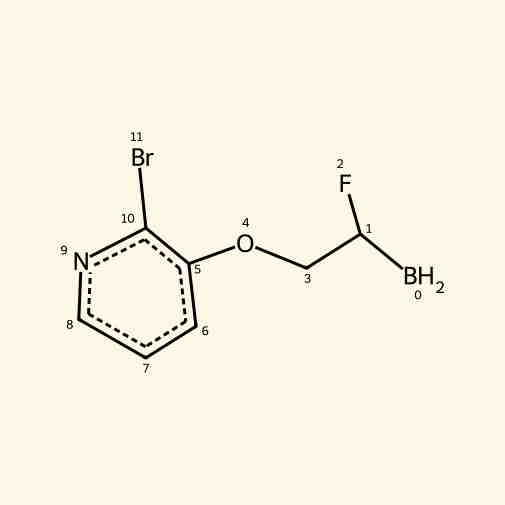 BC(F)COc1cccnc1Br